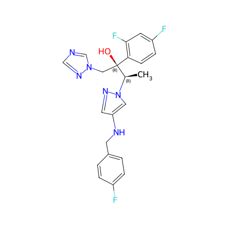 C[C@@H](n1cc(NCc2ccc(F)cc2)cn1)[C@](O)(Cn1cncn1)c1ccc(F)cc1F